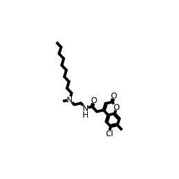 CCCCCCCCCCN(C)CCNC(=O)Cc1cc(=O)oc2cc(C)c(Cl)cc12